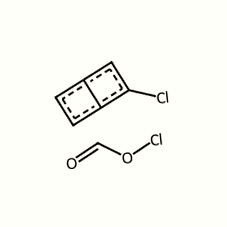 Clc1cc2ccc1-2.O=COCl